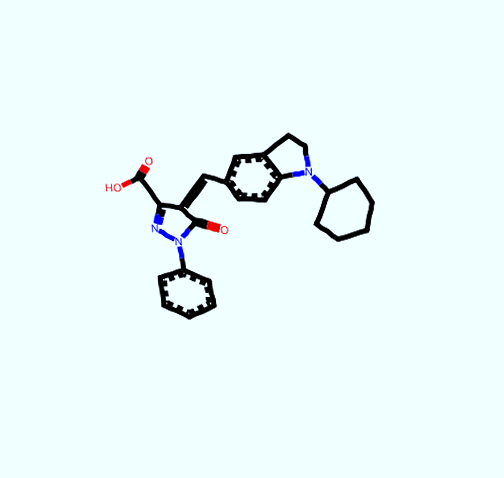 O=C(O)C1=NN(c2ccccc2)C(=O)/C1=C\c1ccc2c(c1)CCN2C1CCCCC1